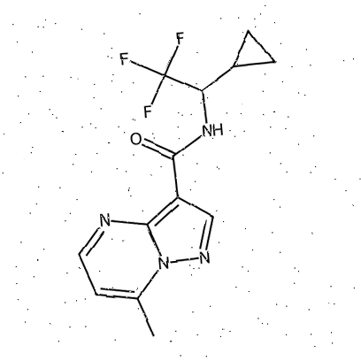 Cc1ccnc2c(C(=O)NC(C3CC3)C(F)(F)F)cnn12